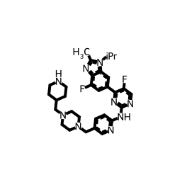 Cc1nc2c(F)cc(-c3nc(Nc4ccc(CN5CCN(CC6CCNCC6)CC5)cn4)ncc3F)cc2n1C(C)C